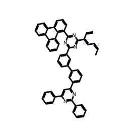 C=C/C(=C\C=C/C)c1nc(-c2cccc(-c3cccc(-c4cc(-c5ccccc5)nc(-c5ccccc5)n4)c3)c2)nc(-c2cccc3c4ccccc4c4ccccc4c23)n1